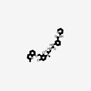 Cc1ccc2cccc(OCc3c(Cl)ccc(N(C)C(=O)CNC(=O)Nc4cccc(C(=O)Nc5ccccn5)c4)c3Cl)c2n1